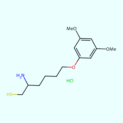 COc1cc(OC)cc(OCCCCC(N)CS)c1.Cl